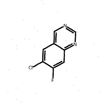 Fc1cc2n[c]ncc2cc1Cl